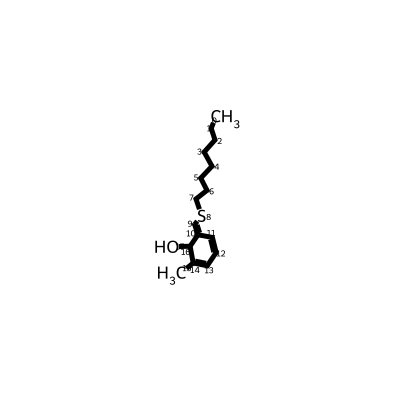 CCCCCCCCSC=C1C=CC=C(C)C1O